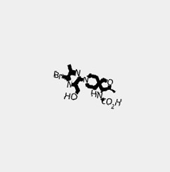 Cc1nc(N2CCC3(CC2)CO[C@@H](C)[C@H]3NC(=O)O)c(CO)nc1Br